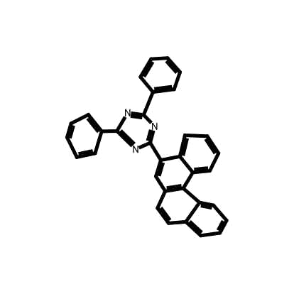 c1ccc(-c2nc(-c3ccccc3)nc(-c3cc4ccc5ccccc5c4c4ccccc34)n2)cc1